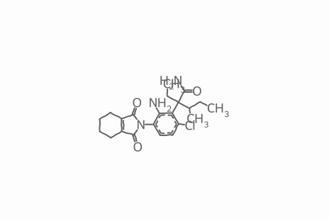 CCC(C)C(CC)(C(N)=O)c1c(Cl)ccc(N2C(=O)C3=C(CCCC3)C2=O)c1N